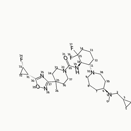 CN(CC1CC1)[C@H]1CCCN([C@H]2CCCC(F)(F)[C@@H]2NC(=O)N2CCC(C)(c3noc([C@@H]4C[C@@H]4F)n3)CC2)CC1